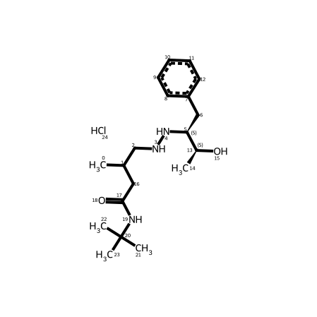 CC(CNN[C@@H](Cc1ccccc1)[C@H](C)O)CC(=O)NC(C)(C)C.Cl